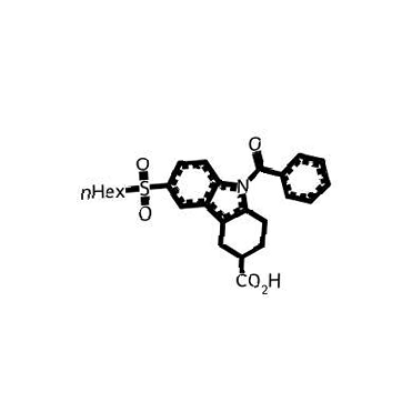 CCCCCCS(=O)(=O)c1ccc2c(c1)c1c(n2C(=O)c2ccccc2)CCC(C(=O)O)C1